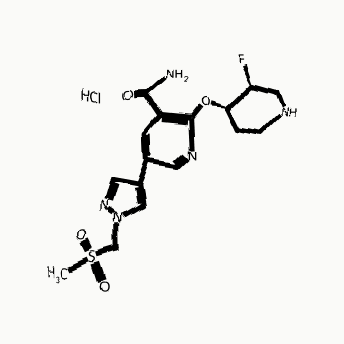 CS(=O)(=O)Cn1cc(-c2cnc(O[C@@H]3CCNC[C@@H]3F)c(C(N)=O)c2)cn1.Cl